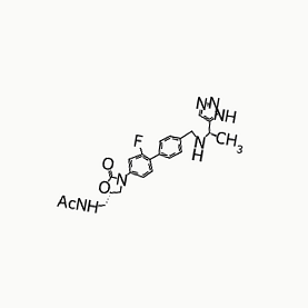 CC(=O)NC[C@H]1CN(c2ccc(-c3ccc(CN[C@H](C)c4cnn[nH]4)cc3)c(F)c2)C(=O)O1